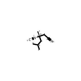 [C-]#[N+][C@](C)(CC#N)CC(C)C